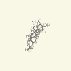 C[C@H](CO)[C@H]1CC[C@H]2[C@@H]3CC[C@H]4C(F)=C(OC(=O)O)CC[C@]4(C)[C@H]3CC[C@]12C